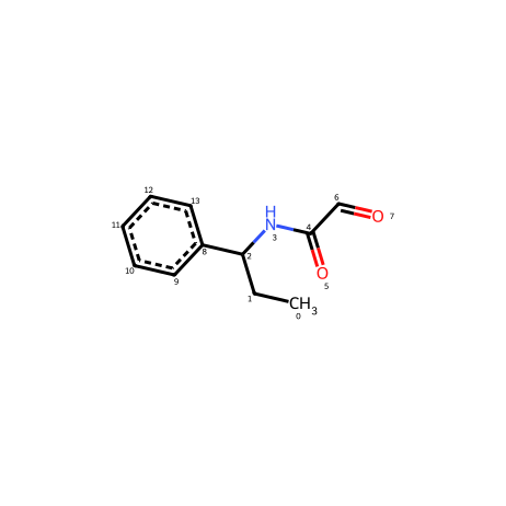 CCC(NC(=O)C=O)c1ccccc1